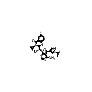 CC[C@@H](c1nc2ccc(F)cc2c(=O)n1C1CC1)n1nc(-c2cnn(C(F)F)c2)c2c(N)ncnc21